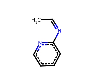 C/[C]=N\c1ccccn1